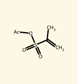 C=C(C)S(=O)(=O)OC(C)=O